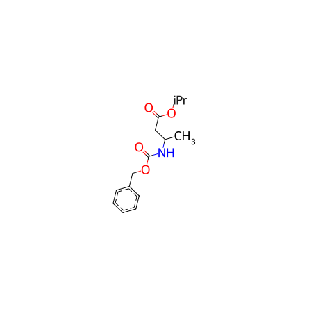 CC(CC(=O)OC(C)C)NC(=O)OCc1ccccc1